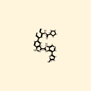 C=C/C(=C\C(=C/C)c1ccc2[nH]nc(-c3nc4c(-c5ccc(C)s5)cncc4[nH]3)c2c1)NC(=O)C1CCCC1